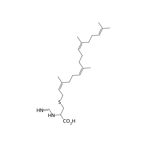 CC(C)=CCCC(C)=CCCC(C)=CCCC(C)=CCSCC(NC=N)C(=O)O